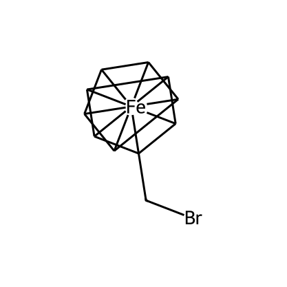 BrC[C]12[CH]3[CH]4[CH]5[CH]1[Fe]45321678[CH]2[CH]1[CH]6[CH]7[CH]28